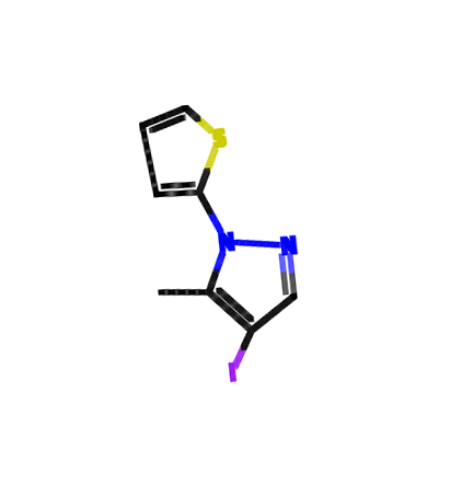 Cc1c(I)cnn1-c1cccs1